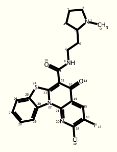 CN1CCCC1CCNC(=O)c1c(=O)c2cc(F)c(Cl)nc2n2c1sc1ccccc12